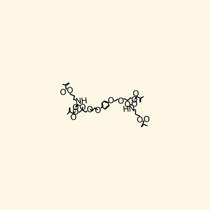 C=C(C)C(=O)OCCCNC(=O)OC(COCCOc1ccc(OCCOCC(COC(=O)C(=C)C)OC(=O)NCCCOC(=O)C(=C)C)cc1)COC(=O)C(=C)C